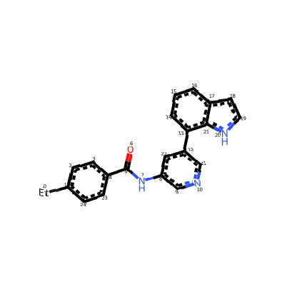 CCc1ccc(C(=O)Nc2cncc(-c3cccc4cc[nH]c34)c2)cc1